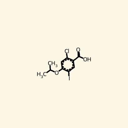 CC(C)Oc1cc(Cl)c(C(=O)O)cc1I